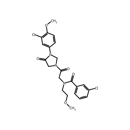 COCCN(CC(=O)N1CC(=O)N(c2ccc(OC)c(Cl)c2)C1)C(=O)c1cccc(Cl)c1